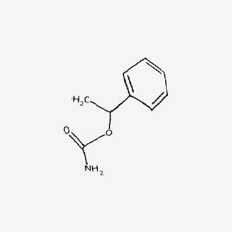 [CH2]C(OC(N)=O)c1ccccc1